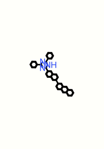 c1ccc(C2=NC(c3ccc4cc(-c5ccc6cc7ccccc7cc6c5)ccc4c3)NC(c3ccccc3)=N2)cc1